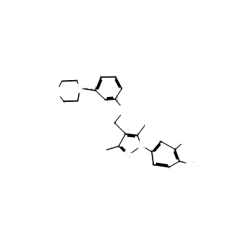 Cc1nn(-c2ccc(C#N)c(Cl)c2)c(C)c1COc1cccc(N2CCOCC2)c1